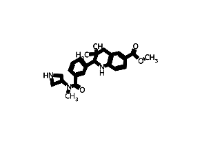 COC(=O)c1ccc2c(c1)CC(C)(C)C(c1cccc(C(=O)N(C)C3CNC3)c1)N2